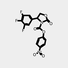 O=C1OCC(c2cc(F)c(F)c(F)c2)N1C(=O)Oc1ccc([N+](=O)[O-])cc1